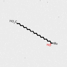 CCCCC(O)CCCCCCCCCCCCCCCCCCCCC(=O)O